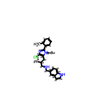 CCCCn1c(-c2ccccc2C)nc(Cl)c1CC(CNCc1ccc2[nH]ccc2c1)C(C)C